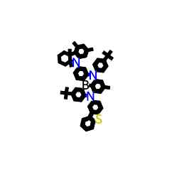 Cc1cc2c3c(c1)N(c1ccc(C(C)(C)C)cc1)c1cc(N4c5cc(C)cc(C)c5C5(C)CCCCC45C)ccc1B3c1cc(C(C)(C)C)ccc1N2c1ccc2sc3ccccc3c2c1